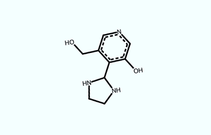 OCc1cncc(O)c1C1NCCN1